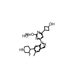 COc1nc(C2CC(O)C2)cc(-n2ncc3cc(C)c(C4CCNCC4F)cc32)n1.Cl